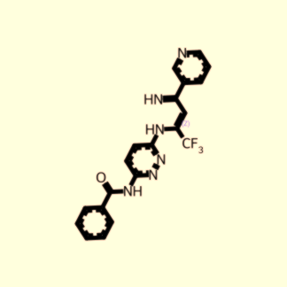 N=C(/C=C(\Nc1ccc(NC(=O)c2ccccc2)nn1)C(F)(F)F)c1cccnc1